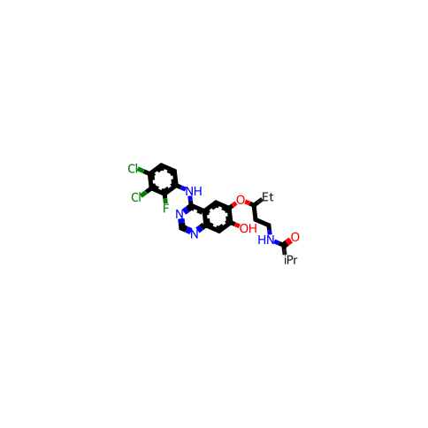 CCC(CCNC(=O)C(C)C)Oc1cc2c(Nc3ccc(Cl)c(Cl)c3F)ncnc2cc1O